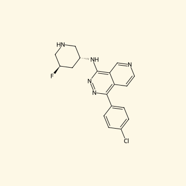 F[C@H]1CNC[C@H](Nc2nnc(-c3ccc(Cl)cc3)c3ccncc23)C1